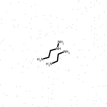 NCCN.NCCNN